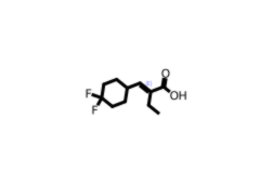 CC/C(=C\C1CCC(F)(F)CC1)C(=O)O